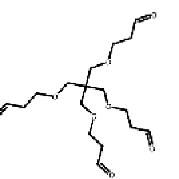 O=CCCOCC(COCCC=O)(COCCC=O)COCCC=O